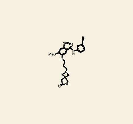 C#Cc1cccc(Nc2ncnc3cc(OC)c(OCCCN4CC5(CNC(=O)C5)C4)cc23)c1